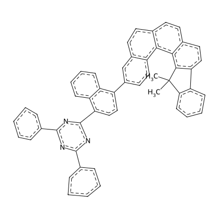 CC1(C)c2ccccc2-c2ccc3ccc4ccc5cc(-c6ccc(-c7nc(-c8ccccc8)nc(-c8ccccc8)n7)c7ccccc67)ccc5c4c3c21